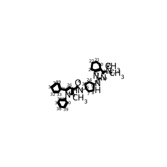 Cc1c(C(=O)N[C@H]2CC[C@@H](Nc3nc4c(c(N(C)C)n3)CCCC4)CC2)cc(-c2ccccc2)n1-c1ccccc1